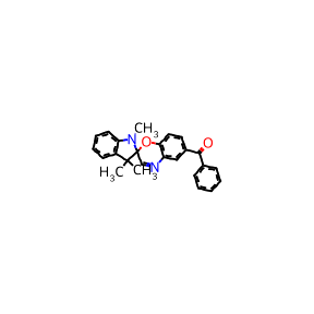 CN1c2ccccc2C(C)(C)C12C=Nc1cc(C(=O)c3ccccc3)ccc1O2